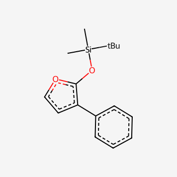 CC(C)(C)[Si](C)(C)Oc1occc1-c1ccccc1